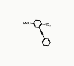 COc1ccc([N+](=O)[O-])c(C#Cc2ccccc2)c1